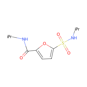 CC(C)NC(=O)c1ccc(S(=O)(=O)NC(C)C)o1